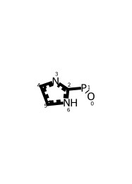 O=Pc1ncc[nH]1